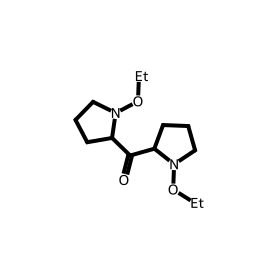 CCON1CCCC1C(=O)C1CCCN1OCC